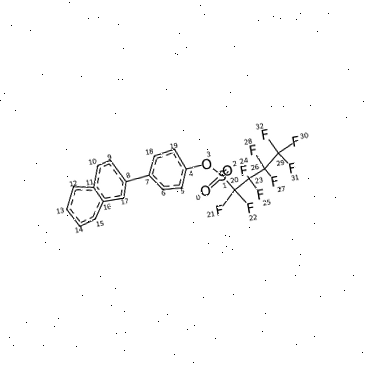 O=S(=O)(Oc1ccc(-c2ccc3ccccc3c2)cc1)C(F)(F)C(F)(F)C(F)(F)C(F)(F)F